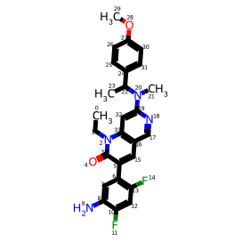 CCn1c(=O)c(-c2cc(N)c(F)cc2F)cc2cnc(N(C)C(C)c3ccc(OC)cc3)cc21